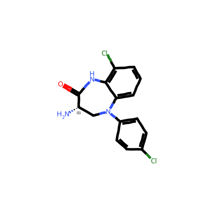 N[C@H]1CN(c2ccc(Cl)cc2)c2cccc(Cl)c2NC1=O